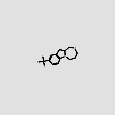 FC(F)(F)c1ccc2c(c1)CC1CNCCCN21